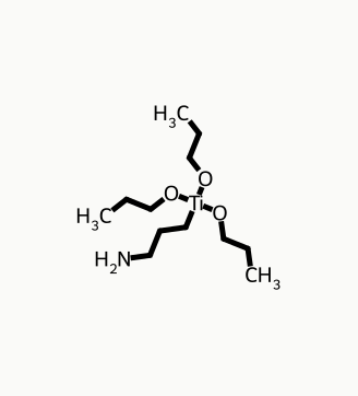 CCC[O][Ti]([CH2]CCN)([O]CCC)[O]CCC